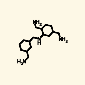 NCC1CCCC(CNC2CC(CN)CCC2CN)C1